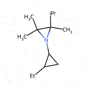 CCC1CC1N1C(C)(C)C1(C)C(C)C